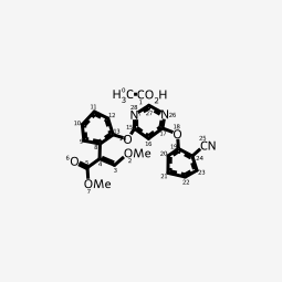 CC(=O)O.CO/C=C(/C(=O)OC)c1ccccc1Oc1cc(Oc2ccccc2C#N)ncn1